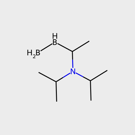 BBC(C)N(C(C)C)C(C)C